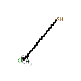 C[Si](C)(Cl)CCCCCCCCCCCCCCCCCCCCCCCCCCCCS